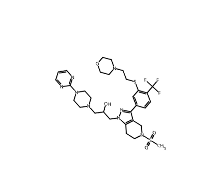 CS(=O)(=O)N1CCc2c(c(-c3ccc(C(F)(F)F)c(SCCN4CCOCC4)c3)nn2CC(O)CN2CCN(c3ncccn3)CC2)C1